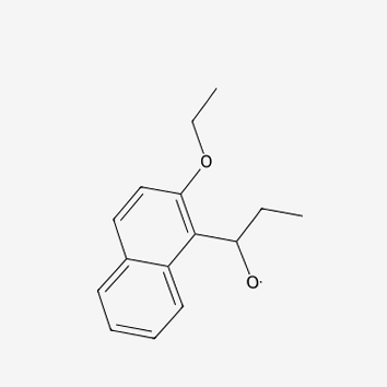 CCOc1ccc2ccccc2c1C([O])CC